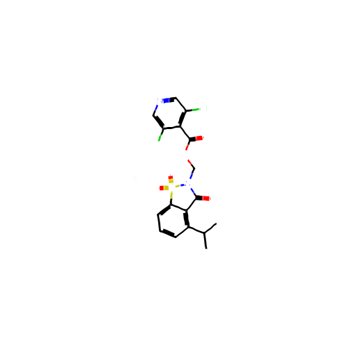 CC(C)c1cccc2c1C(=O)N(COC(=O)c1c(Cl)cncc1Cl)S2(=O)=O.Cl